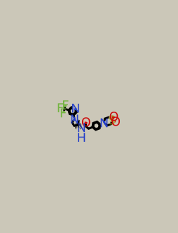 O=C(Cc1ccc(N2CCS(=O)(=O)CC2)cc1)N[C@@H]1CCN(c2cncc(C(F)(F)F)c2)C1